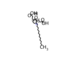 CCCCCCCCCCCCC/C=C1\CC[C@@H](CCC(=O)O)[C@@H](O)[C@@H]1SCC(=O)O